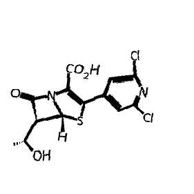 C[C@@H](O)[C@H]1C(=O)N2C(C(=O)O)=C(c3cc(Cl)nc(Cl)c3)S[C@H]12